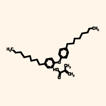 C=C(C)C(=O)O.CCCCCCCCc1ccc(Oc2ccc(CCCCCCCC)cc2)cc1